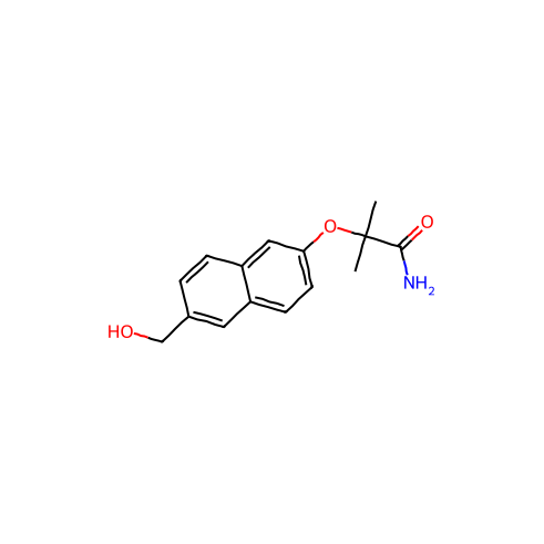 CC(C)(Oc1ccc2cc(CO)ccc2c1)C(N)=O